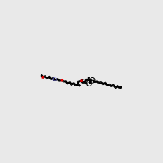 CCCCCC/C=C/CCCCCCCCCCC(C)CC(C)CC(C)CC(C)C(=O)OCCCCCCCCCCCCCC